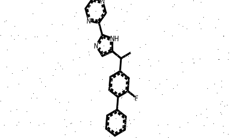 CC(c1ccc(-c2ccccc2)c(F)c1)c1cnc(-c2cnccn2)[nH]1